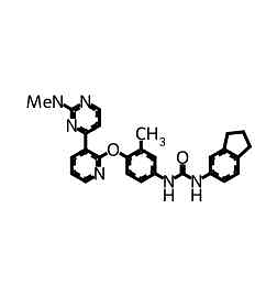 CNc1nccc(-c2cccnc2Oc2ccc(NC(=O)Nc3ccc4c(c3)CCC4)cc2C)n1